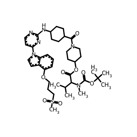 CC(C)C(C(=O)OC1CCN(C(=O)C2CCC(Nc3nccc(-n4ccc5c(OCCCS(C)(=O)=O)cccc54)n3)CC2)CC1)N(C)C(=O)OC(C)(C)C